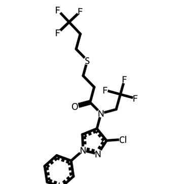 O=C(CCSCCC(F)(F)F)N(CC(F)(F)F)c1cn(-c2cccnc2)nc1Cl